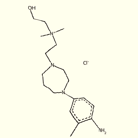 Cc1cc(N2CCCN(CC[N+](C)(C)CCO)CC2)ccc1N.[Cl-]